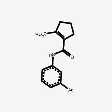 CC(=O)c1cccc(NC(=O)C2=C(C(=O)O)CCC2)c1